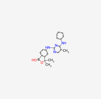 Cc1cnc(Nc2ccc3c(c2)C(C)(C)OB3O)nc1Nc1ccccc1